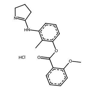 COc1ccccc1C(=O)Oc1cccc(NC2=NCCC2)c1C.Cl